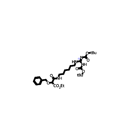 CCOC(=O)C(OCc1ccccc1)C(=O)NCCCCCCN/C(=N/C(=O)OC(C)(C)C)NC(=O)OC(C)(C)C